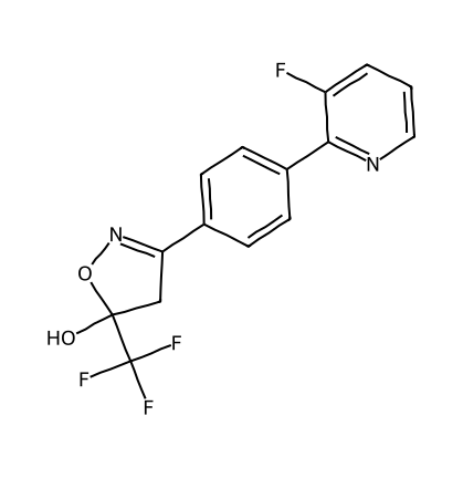 OC1(C(F)(F)F)CC(c2ccc(-c3ncccc3F)cc2)=NO1